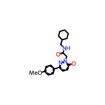 COc1ccc(-c2ccc(=O)n(CC(=O)NCC3CCCCC3)n2)cc1